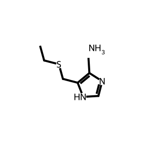 CCSCc1[nH]cnc1C.N